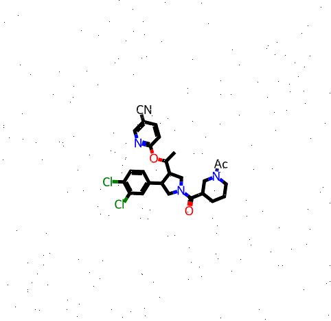 CC(=O)N1CCCC(C(=O)N2CC(c3ccc(Cl)c(Cl)c3)C(C(C)Oc3ccc(C#N)cn3)C2)C1